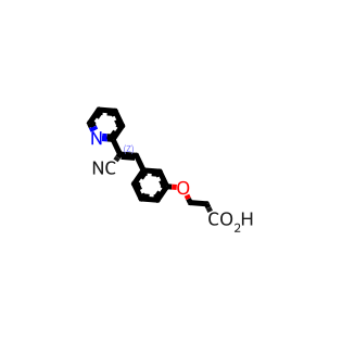 N#C/C(=C\c1cccc(OCCC(=O)O)c1)c1ccccn1